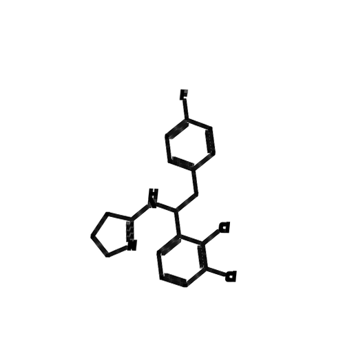 Fc1ccc(CC(NC2=NCCC2)c2cccc(Cl)c2Cl)cc1